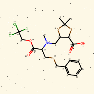 CN(CC1SC(C)(C)SC1C(=O)O)C(CSCc1ccccc1)C(=O)OCC(Cl)(Cl)Cl